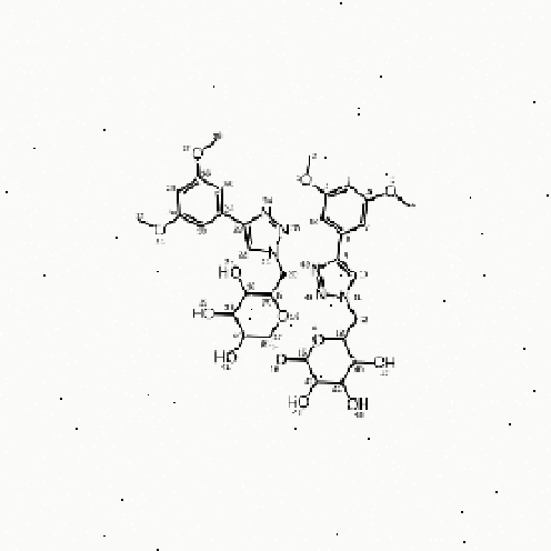 COc1cc(OC)cc(-c2cn(CC3OC(O[C@H]4O[C@H](Cn5cc(-c6cc(OC)cc(OC)c6)nn5)C(O)C(O)C4O)C(O)C(O)C3O)nn2)c1